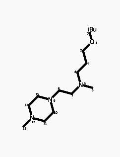 CCC(C)OCCCN(C)CCN1CCN(C)CC1